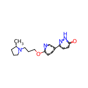 C[C@@H]1CCCN1CCCOc1ccc(-c2ccc(=O)[nH]n2)cn1